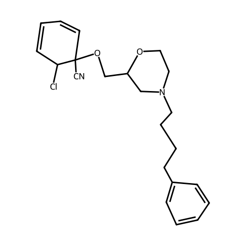 N#CC1(OCC2CN(CCCCc3ccccc3)CCO2)C=CC=CC1Cl